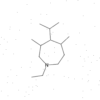 CCN1CCC(C)C(C(C)C)C(C)C1